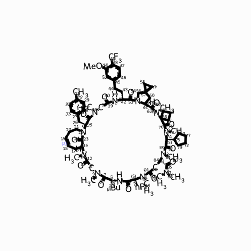 CCC[C@H]1C(=O)N[C@@H]([C@@H](C)CC)C(=O)N(C)CC(=O)N(C)[C@H]2C/C=C\CCN(C2=O)[C@@H](Cc2ccc(C)cc2)C(=O)N(C)CC(=O)N[C@@H](CCc2ccc(C(F)(F)F)c(OC)c2)C(=O)N2CC3(CC3)C[C@H]2C(=O)N(C)C2(CCC2)C(=O)N(C)[C@@H](C2CCCC2)C(=O)N(C)[C@H](C(=O)N(C)C)CC(=O)N1C